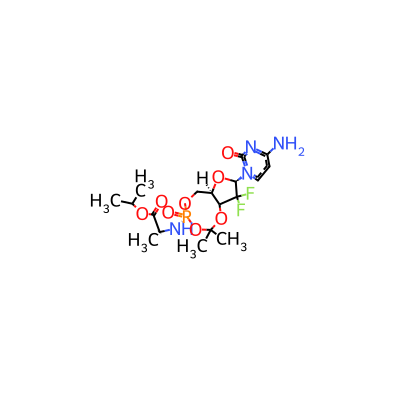 CC(C)OC(=O)[C@H](C)NP1(=O)OC[C@H]2O[C@@H](n3ccc(N)nc3=O)C(F)(F)C2OC(C)(C)O1